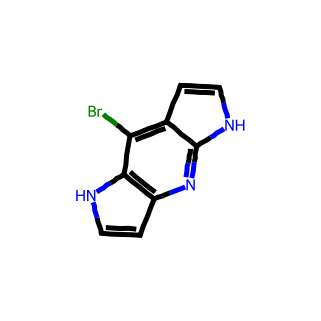 Brc1c2cc[nH]c2nc2cc[nH]c12